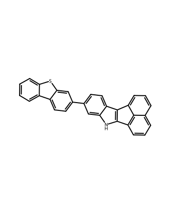 c1cc2c3c(cccc3c1)-c1c-2[nH]c2cc(-c3ccc4c(c3)sc3ccccc34)ccc12